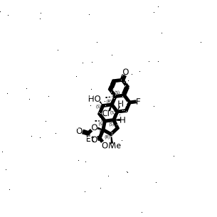 CCC(=O)O[C@]1(C(=O)OC)[C@H](C)C[C@H]2[C@@H]3CC(F)C4=CC(=O)C=C[C@]4(C)[C@@]3(Cl)[C@@H](O)C[C@@]21C